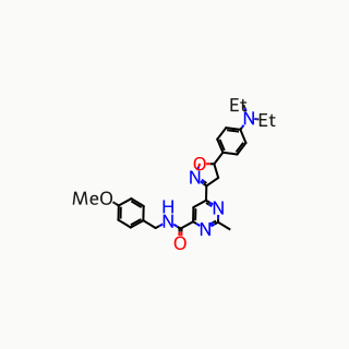 CCN(CC)c1ccc(C2CC(c3cc(C(=O)NCc4ccc(OC)cc4)nc(C)n3)=NO2)cc1